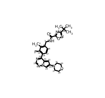 Cc1c(CNC(=O)c2nc(C(C)(C)C)no2)ccc(-c2ncnn3cc(N4CCOCC4)cc23)c1F